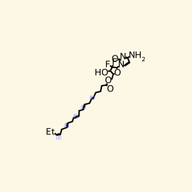 CC/C=C\C/C=C/C/C=C/C/C=C/C/C=C/CCCC(=O)OCC1OC(n2ccc(N)nc2=O)C(F)(F)C1O